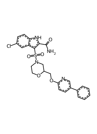 NC(=O)c1[nH]c2ccc(Cl)cc2c1S(=O)(=O)N1CCOC(COc2ccc(-c3ccccc3)cn2)C1